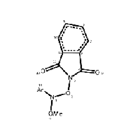 CON(ON1C(=O)c2ccccc2C1=O)C(C)=O